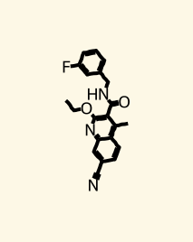 CCOc1nc2cc(C#N)ccc2c(C)c1C(=O)NCc1cccc(F)c1